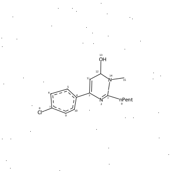 CCCCCC1=NC(c2ccc(Cl)cc2)=CC(O)N1C